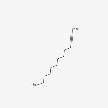 [CH2]CCCCCC#CCCCCCCCCCCCCCCCCCC[CH2]